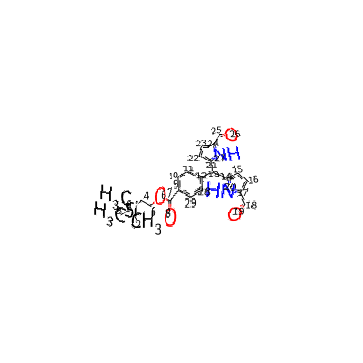 C[Si](C)(C)CCOC(=O)c1ccc(C(c2ccc(C=O)[nH]2)c2ccc(C=O)[nH]2)cc1